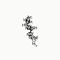 CC(=O)N1C[C@H]2C[C@H](Nc3ncc4c(-c5cnc6nc(C)n(CC(F)F)c6n5)c[nH]c4n3)C[C@H]2C1